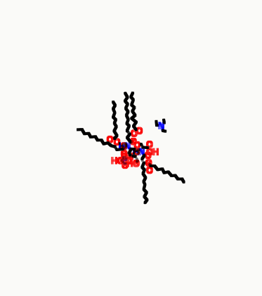 CCCCCCCCCCC[C@H](CC(=O)N[C@H]1[C@H](OC[C@H](NC(=O)C[C@@H](CCCCCCCCCCC)OC(=O)CCCCCCCCCC)C(=O)O)O[C@H](CO)[C@@H](OP(=O)(O)O)[C@@H]1OC(=O)C[C@@H](CCCCCCCCCCC)OC(=O)CCCCCCCCCC)OC(=O)CCCCCCCCCC.CCN(CC)CC